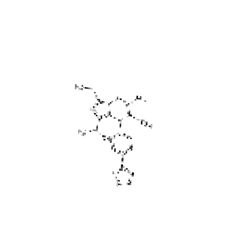 CCn1nc(C(C)C)c2c1OC(N)=C(C#N)C2c1ccc(-n2ccnn2)cc1